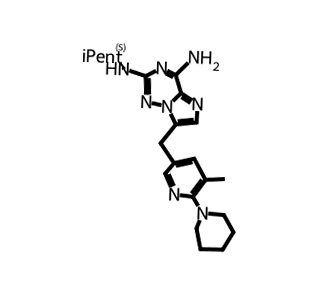 CCC[C@H](C)Nc1nc(N)c2ncc(Cc3cnc(N4CCCCC4)c(C)c3)n2n1